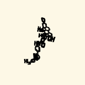 Cn1ccc(-c2ccc(NC(=O)OCC(=O)[C@@]3(O)CCC4C5CCC6=CC(=O)C=CC6(C)C5[C@@H](O)CC43C)cc2)n1